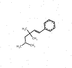 CN(C)CC(C)(C)/C=C/c1ccccc1